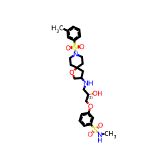 CNS(=O)(=O)c1cccc(OC[C@@H](O)CNC2COC3(CCN(S(=O)(=O)c4cccc(C)c4)CC3)C2)c1